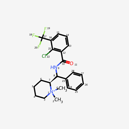 C[N+]1(C)CCCC[C@H]1C(NC(=O)c1cccc(C(F)(F)F)c1Cl)c1ccccc1